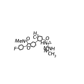 CNC(=O)c1c(-c2ccc(F)cc2)oc2ccc(-c3cc(C(=O)NC4(c5nnc(C)[nH]5)CC4)ccc3C)cc12